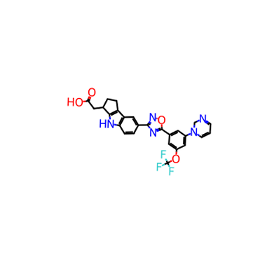 O=C(O)CC1CCc2c1[nH]c1ccc(-c3noc(-c4cc(OC(F)(F)F)cc(N5C=CC=NC5)c4)n3)cc21